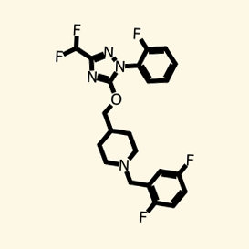 Fc1ccc(F)c(CN2CCC(COc3nc(C(F)F)nn3-c3ccccc3F)CC2)c1